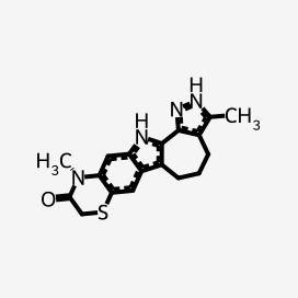 Cc1[nH]nc2c1CCCc1c-2[nH]c2cc3c(cc12)SCC(=O)N3C